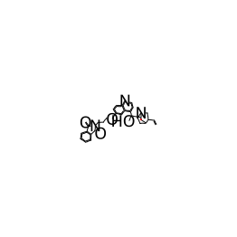 C=CC1CN2CCC1CC2C(O)c1ccnc2ccc(OCCCN3C(=O)c4ccccc4C3=O)cc12